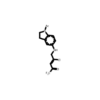 CC(=O)N1CCc2cc(NCC(Cl)=CC(=O)C(F)(F)F)ccc21